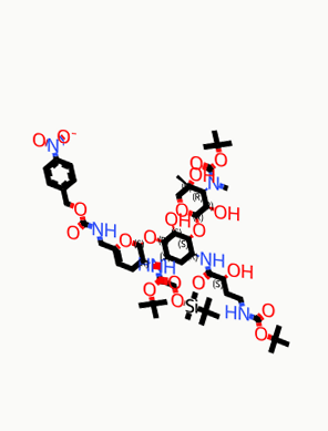 CN(C(=O)OC(C)(C)C)[C@@H]1[C@@H](O)[C@@H](O[C@@H]2[C@@H](O)[C@H](O[C@H]3OC(CNC(=O)OCc4ccc([N+](=O)[O-])cc4)=CC[C@H]3NCCO[Si](C)(C)C(C)(C)C)[C@@H](NC(=O)OC(C)(C)C)C[C@H]2NC(=O)[C@@H](O)CCNC(=O)OC(C)(C)C)OC[C@]1(C)O